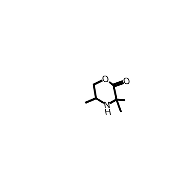 CC1COC(=O)C(C)(C)N1